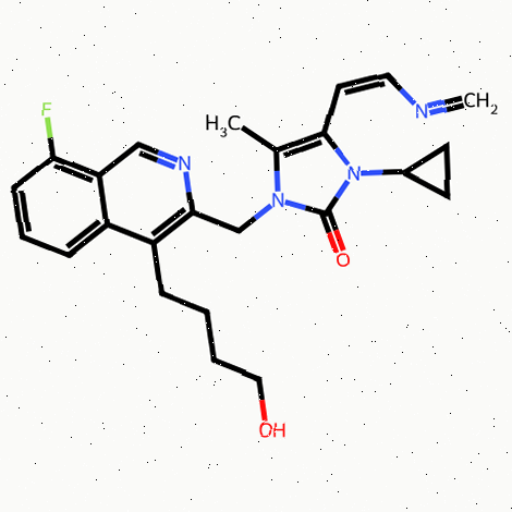 C=N/C=C\c1c(C)n(Cc2ncc3c(F)cccc3c2CCCCO)c(=O)n1C1CC1